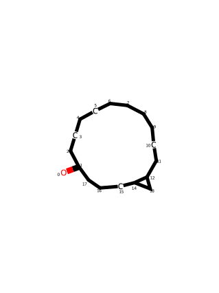 O=C1CCCCCCCCCCC2CC2CCC1